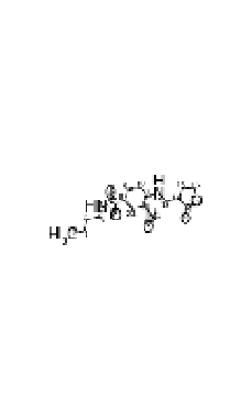 CCCCNS(=O)(=O)c1ccc(NCC2CCOC2=O)c(N=O)c1